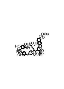 CCC1(CC)OC(=O)C(C(CCCN(C)C(=O)O)N2CCN(Cc3ccc(-n4c(O)nnc4-c4cc(C(C)C)c(O)cc4O)cc3)CC2)c2cc3n(c(=O)c21)Cc1cc2cc(OC(=O)OCC(C)C)ccc2nc1-3